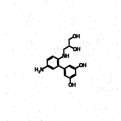 Nc1ccc(NCC(O)CO)c(-c2cc(O)cc(O)c2)c1